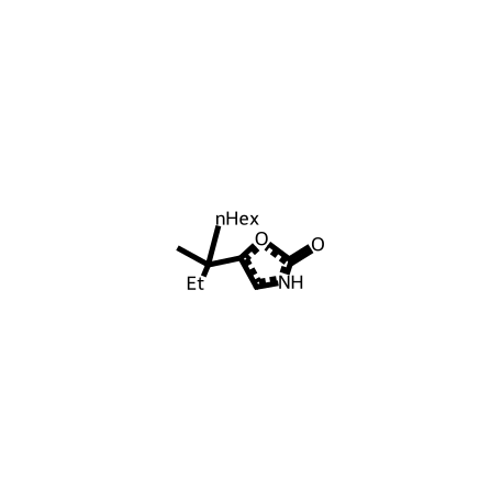 CCCCCCC(C)(CC)c1c[nH]c(=O)o1